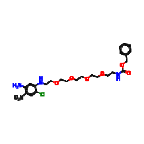 Nc1cc(NCCOCCOCCOCCOCCNC(=O)OCc2ccccc2)c(Cl)cc1[N+](=O)[O-]